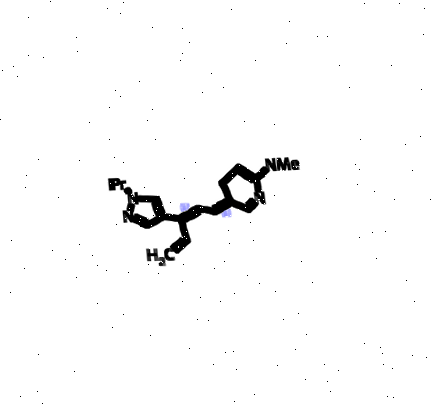 C=C/C(=C\C=C1\C=NC(NC)=CC1)c1cnn(C(C)C)c1